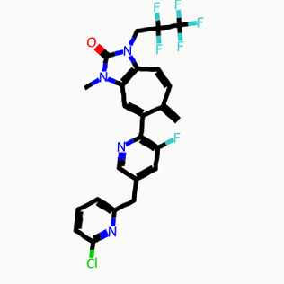 C=C1C=Cc2c(n(C)c(=O)n2CC(F)(F)C(F)(F)F)C=C1c1ncc(Cc2cccc(Cl)n2)cc1F